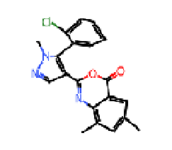 Cc1cc(C)c2nc(-c3cnn(C)c3-c3ccccc3Cl)oc(=O)c2c1